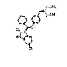 CCN(Cc1ccc(NC(=C2C(=O)Nc3cc(Cl)ccc32)c2ccccc2)cc1)C(C)C